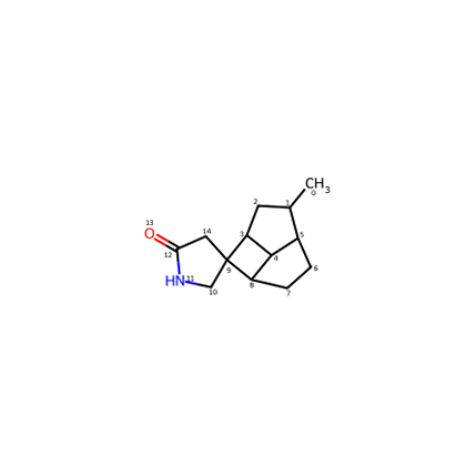 CC1CC2C3C1CCC3C21CNC(=O)C1